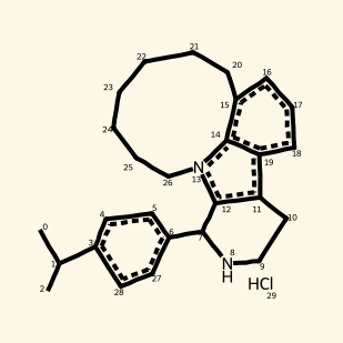 CC(C)c1ccc(C2NCCc3c2n2c4c(cccc34)CCCCCCC2)cc1.Cl